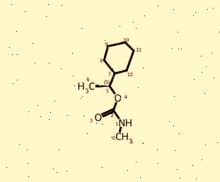 CNC(=O)O[C@@H](C)C1CCCCC1